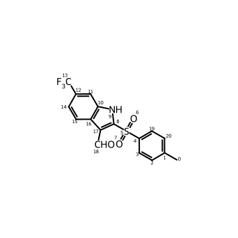 Cc1ccc(S(=O)(=O)c2[nH]c3cc(C(F)(F)F)ccc3c2C=O)cc1